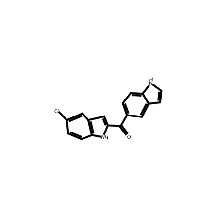 O=C(c1ccc2[nH]ccc2c1)c1cc2cc(Cl)ccc2[nH]1